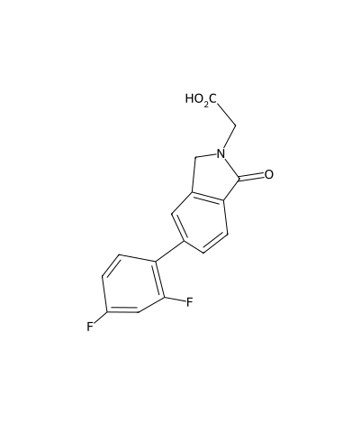 O=C(O)CN1Cc2cc(-c3ccc(F)cc3F)ccc2C1=O